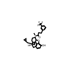 CN(C(=O)CCc1cccc(C(F)(F)F)c1)C1CC[C@@]2(O)[C@H]3Cc4ccc(O)c5c4[C@@]2(CCN3CC2CC2)C1O5